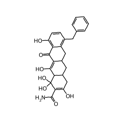 NC(=O)C1=C(O)CC2CC3Cc4c(Cc5ccccc5)ccc(O)c4C(=O)C3=C(O)C2C1(O)O